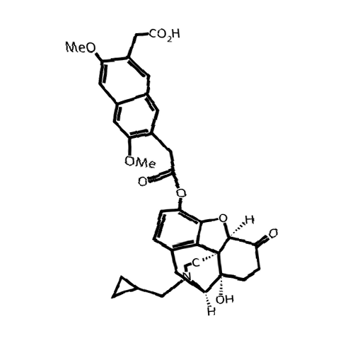 COc1cc2cc(OC)c(CC(=O)Oc3ccc4c5c3O[C@H]3C(=O)CC[C@@]6(O)[C@@H](C4)N(CC4CC4)CC[C@]536)cc2cc1CC(=O)O